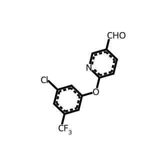 O=Cc1ccc(Oc2cc(Cl)cc(C(F)(F)F)c2)nc1